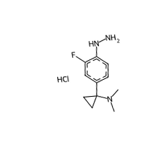 CN(C)C1(c2ccc(NN)c(F)c2)CC1.Cl